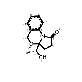 C[C@@H](O)C12CCC(=O)N1c1ccccc1CO2